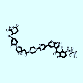 CCN(C)S(=O)(=O)Nc1ccc(F)c(C(=O)c2c[nH]c3ncc(-c4cnc(N5CCN(C(=O)CC6(O)CCN(c7ccc(NC8CCC(=O)NC8=O)cc7F)C6)CC5)nc4)cc23)c1F